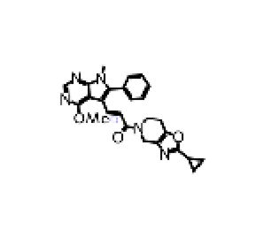 COc1ncnc2c1c(/C=C/C(=O)N1CCc3oc(C4CC4)nc3C1)c(-c1ccccc1)n2C